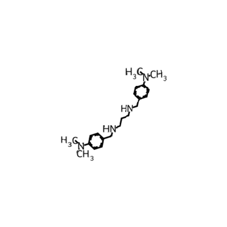 CN(C)c1ccc(CNCCCNCc2ccc(N(C)C)cc2)cc1